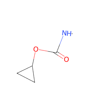 [NH]C(=O)OC1CC1